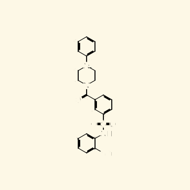 CCCc1ccccc1NS(=O)(=O)c1cccc(C(=O)N2CCN(c3ccccc3)CC2)c1